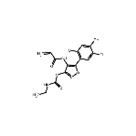 C=CC(=O)Nc1c(OC(=O)NCC)noc1-c1cc(Cl)c(O)cc1O